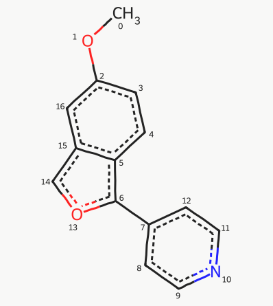 COc1ccc2c(-c3ccncc3)occ2c1